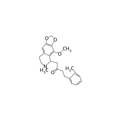 COc1c2c(cc3c1C(CC(=O)CCc1ccccc1C)N(C)CC3)OCO2